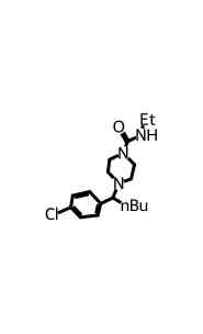 CCCCC(c1ccc(Cl)cc1)N1CCN(C(=O)NCC)CC1